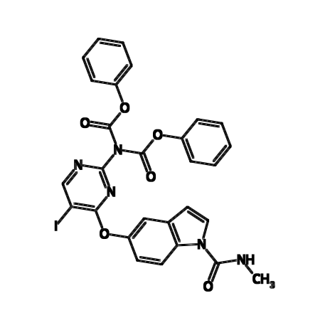 CNC(=O)n1ccc2cc(Oc3nc(N(C(=O)Oc4ccccc4)C(=O)Oc4ccccc4)ncc3I)ccc21